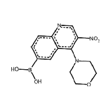 O=[N+]([O-])c1cnc2ccc(B(O)O)cc2c1N1CCOCC1